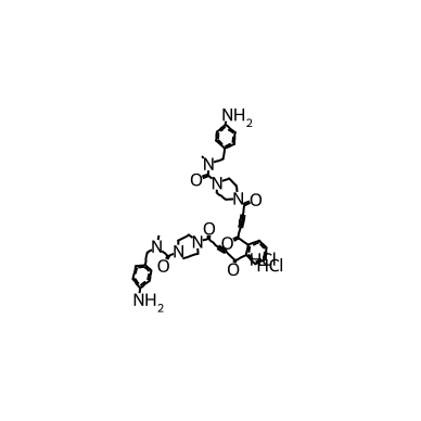 CN(Cc1ccc(N)cc1)C(=O)N1CCN(C(=O)C#CC(=O)c2ccccc2C(=O)C#CC(=O)N2CCN(C(=O)N(C)Cc3ccc(N)cc3)CC2)CC1.Cl.Cl